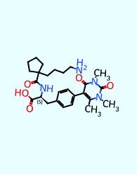 Cc1c(-c2ccc(C[C@H](NC(=O)C3(CCCCN)CCCC3)C(=O)O)cc2)c(=O)n(C)c(=O)n1C